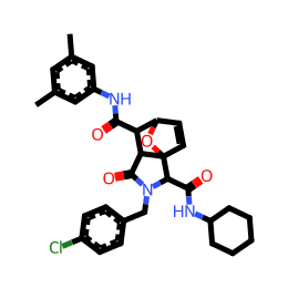 Cc1cc(C)cc(NC(=O)C2C3C=CC4(O3)C2C(=O)N(Cc2ccc(Cl)cc2)C4C(=O)NC2CCCCC2)c1